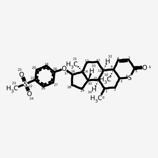 CC1CC2SC(=O)C=C[C@]2(C)[C@@H]2CC[C@]3(C)C(Oc4ccc(S(C)(=O)=O)cc4)CC[C@H]3[C@H]12